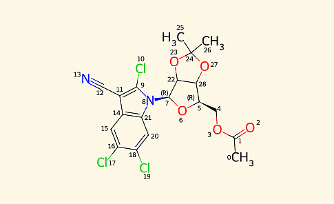 CC(=O)OC[C@H]1O[C@@H](n2c(Cl)c(C#N)c3cc(Cl)c(Cl)cc32)C2OC(C)(C)OC21